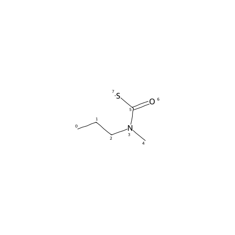 CCCN(C)C(=O)[S]